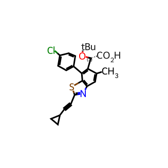 Cc1cc2nc(C#CC3CC3)sc2c(-c2ccc(Cl)cc2)c1[C@H](OC(C)(C)C)C(=O)O